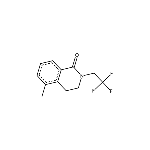 Cc1cccc2c1CCN(CC(F)(F)F)C2=O